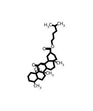 CC(C)CCCCOC(=O)C1CC[C@]2(C)CCC3C(=CC(=O)C4[C@@]3(C)CCC3[C@@H](C)CCC[C@@]34C)C2C1